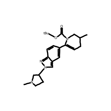 CC1CC=C(c2ccc3nn(C4CCN(C)C4)cc3c2)N(C(=O)OC(C)(C)C)C1